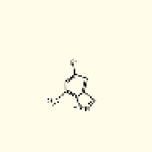 O=[N+]([O-])c1cc(Br)cc2cn[nH]c12